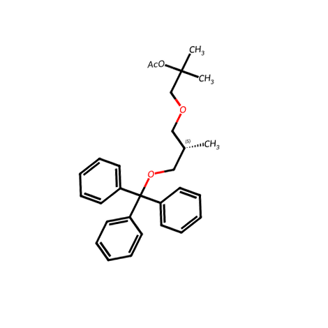 CC(=O)OC(C)(C)COC[C@H](C)COC(c1ccccc1)(c1ccccc1)c1ccccc1